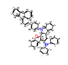 c1ccc(-n2c3ccccc3c3c4c5ccccc5n(-c5ccc(-c6ccc7c8c(cccc68)-c6ccccc6-7)cc5)c4c4oc5ccccc5c4c32)cc1